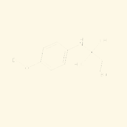 CCOc1ccc(NC(C)(C)CC(C)(C)C)cc1